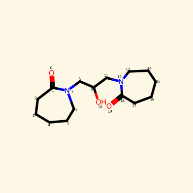 O=C1CCCCCN1CC(O)CN1CCCCCC1=O